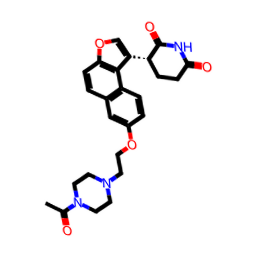 CC(=O)N1CCN(CCOc2ccc3c(ccc4occ([C@H]5CCC(=O)NC5=O)c43)c2)CC1